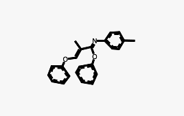 CC(=C\Oc1ccccc1)/C(=N/c1ccc(C)cc1)Oc1ccccc1